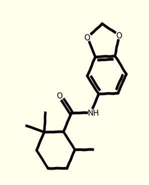 CC1CCCC(C)(C)C1C(=O)Nc1ccc2c(c1)OCO2